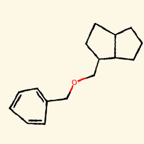 c1ccc(COCC2CCC3CCCC32)cc1